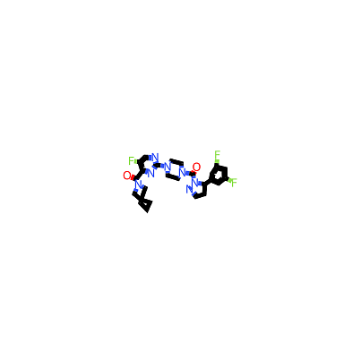 O=C(c1nc(N2CCN(C(=O)N3N=CCC3c3cc(F)cc(F)c3)CC2)ncc1F)N1CC2(CCC2)C1